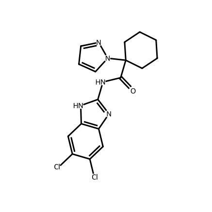 O=C(Nc1nc2cc(Cl)c(Cl)cc2[nH]1)C1(n2cccn2)CCCCC1